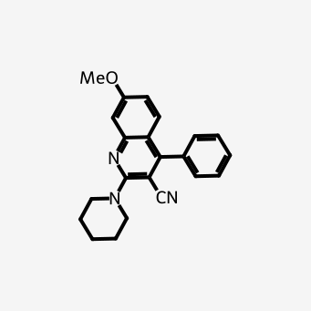 COc1ccc2c(-c3ccccc3)c(C#N)c(N3CCCCC3)nc2c1